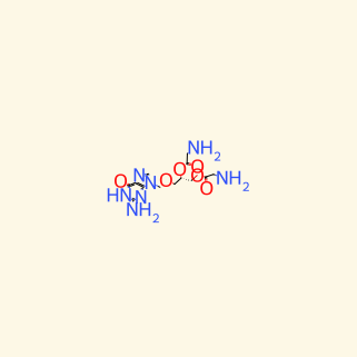 NCC(=O)OC[C@H](COCn1cnc2c(=O)[nH]c(N)nc21)OC(=O)CN